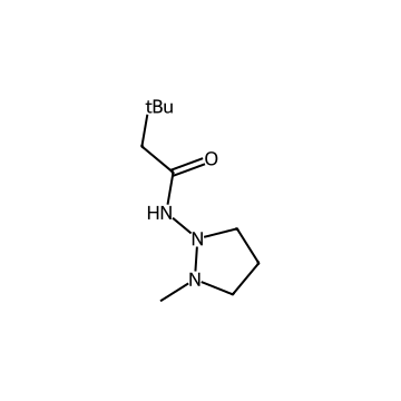 CN1CCCN1NC(=O)CC(C)(C)C